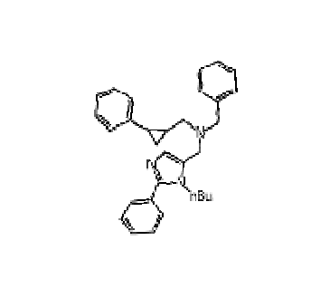 CCCCn1c(CN(Cc2ccccc2)CC2CC2c2ccccc2)cnc1-c1ccccc1